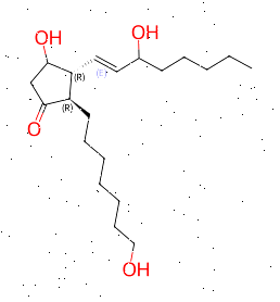 CCCCCC(O)/C=C/[C@H]1C(O)CC(=O)[C@@H]1CCCCCCCO